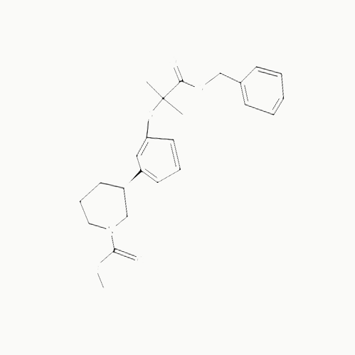 COC(=O)N1CCC[C@@H](c2cccc(OC(C)(C)C(=O)OCc3ccccc3)c2)C1